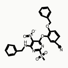 CS(=O)(=O)c1nc(NCc2ccccc2)c([N+](=O)[O-])c(Oc2cc(C#N)ccc2OCc2ccccc2)n1